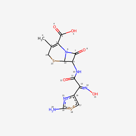 CC1=C(C(=O)O)N2C(=O)C(NC(=O)C(=NO)c3csc(N)n3)C2SC1